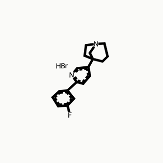 Br.Fc1cccc(-c2ccc(C34CCCN(CC3)C4)cn2)c1